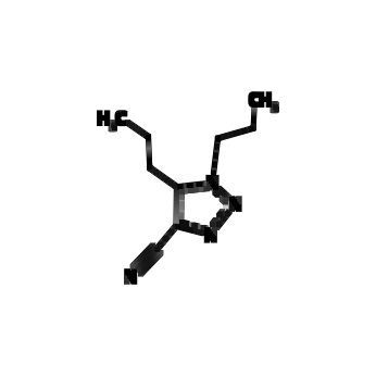 CCCc1c(C#N)nnn1CCC